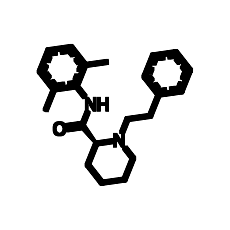 Cc1cccc(C)c1NC(=O)[C@@H]1CCCCN1CCc1ccccc1